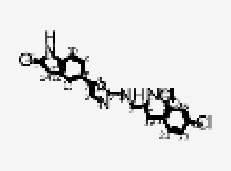 NC(CNc1ncc(-c2ccc3c(c2)CC(=O)N3)s1)Cc1ccc(Cl)cc1Cl